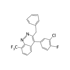 Fc1ccc(-c2c(Cc3ccccc3)nnc3c(C(F)(F)F)cccc23)cc1Cl